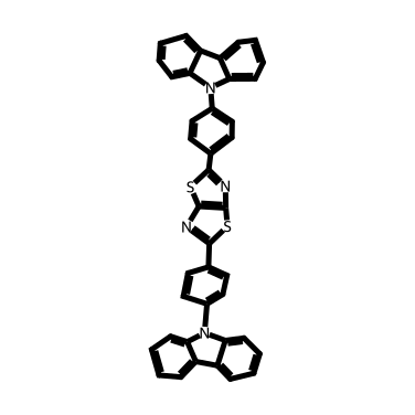 c1ccc2c(c1)c1ccccc1n2-c1ccc(-c2nc3sc(-c4ccc(-n5c6ccccc6c6ccccc65)cc4)nc3s2)cc1